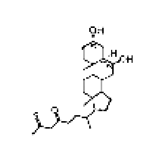 CC(=S)CC(=O)CCC(C)C1CCC2C3C[C@H](O)[C@@H]4C[C@H](O)CCC4(C)C3CCC12C